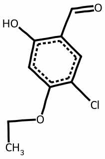 CCOc1cc(O)c(C=O)cc1Cl